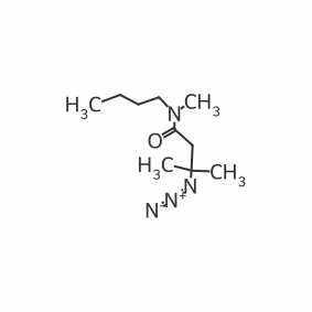 CCCCN(C)C(=O)CC(C)(C)N=[N+]=[N-]